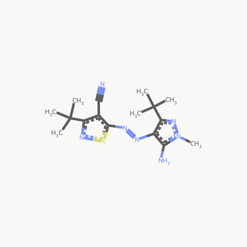 Cn1nc(C(C)(C)C)c(N=Nc2snc(C(C)(C)C)c2C#N)c1N